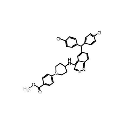 COC(=O)c1ccc(N2CCC(Nc3cnnc4ccc(C(c5ccc(Cl)cc5)c5ccc(Cl)cc5)cc34)CC2)cc1